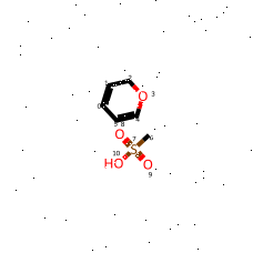 C1=CCOC=C1.CS(=O)(=O)O